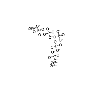 O=P([O-])([O-])[O-].O=P([O-])([O-])[O-].O=P([O-])([O-])[O-].O=P([O-])([O-])[O-].O=P([O-])([O-])[O-].[Fe+3].[Zr+4].[Zr+4].[Zr+4]